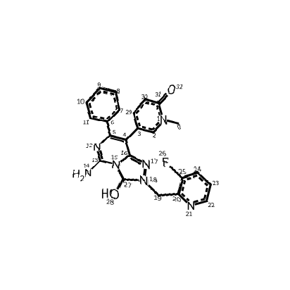 Cn1cc(C2=C(c3ccccc3)N=C(N)N3C2=NN(Cc2ncccc2F)C3O)ccc1=O